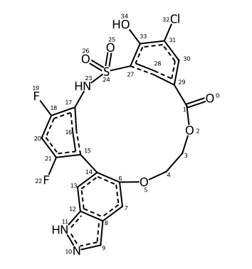 O=C1OCCOc2cc3cn[nH]c3cc2-c2cc(c(F)cc2F)NS(=O)(=O)c2cc1cc(Cl)c2O